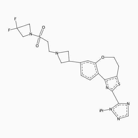 CC(C)n1ncnc1-c1nc2c(s1)CCOc1cc(C3CN(CCS(=O)(=O)N4CC(F)(F)C4)C3)ccc1-2